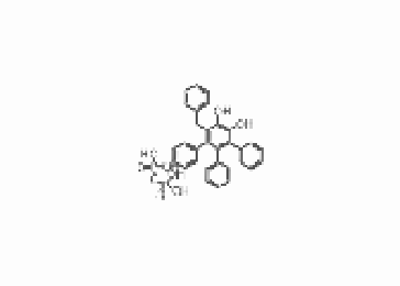 O=P(O)(O)OP(=O)(O)O.Oc1c(O)c(-c2ccccc2)c(-c2ccccc2)c(-c2ccccc2)c1Cc1ccccc1